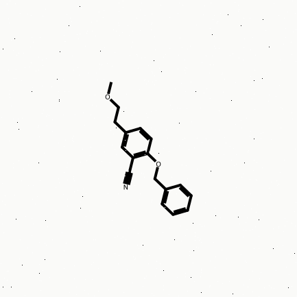 COCCc1ccc(OCc2ccccc2)c(C#N)c1